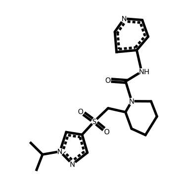 CC(C)n1cc(S(=O)(=O)CC2CCCCN2C(=O)Nc2ccncc2)cn1